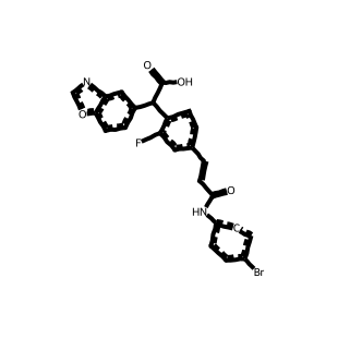 O=C(C=Cc1ccc(C(C(=O)O)c2ccc3ocnc3c2)c(F)c1)Nc1ccc(Br)cc1